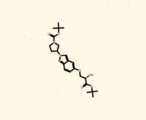 CC(C)(C)OC(=O)[C@H](O)COc1ccc2nn(C3CCN(C(=O)OC(C)(C)C)C3)cc2c1